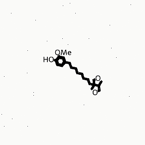 COc1cc(CCCCCCCCC23COCC2COC3)ccc1O